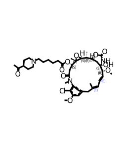 COc1cc2cc(c1Cl)N(C)C(=O)C[C@H](OC(=O)CCCCCN1CCC(C(C)=O)CC1)[C@]1(C)O[C@H]1[C@H](C)[C@@H]1C[C@@](O)(NC(=O)O1)[C@H](OC)/C=C/C=C(\C)C2